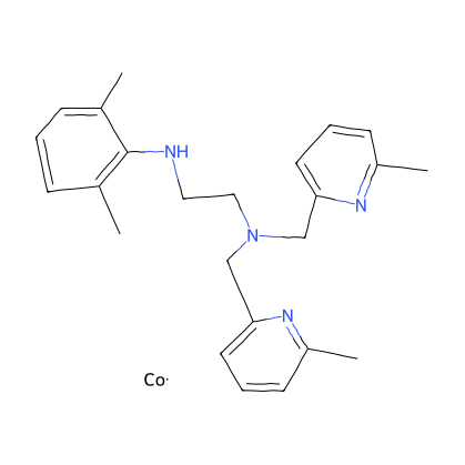 Cc1cccc(CN(CCNc2c(C)cccc2C)Cc2cccc(C)n2)n1.[Co]